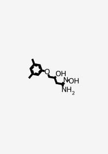 Cc1cc(C)cc(OCC(O)CC(N)=NO)c1